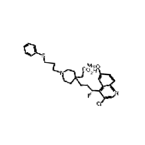 COc1ccc2ncc(Cl)c([C@H](F)CCC3(CC(=O)O)CCN(CCCSc4ccccc4)CC3)c2c1